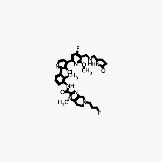 COc1nc(-c2ccnc(-c3cccc(NC(=O)c4nc5c(n4C)CCN(CCCF)C5)c3C)c2Cl)cc(F)c1CNCC1CCC(=O)N1